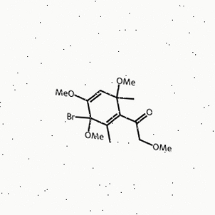 COCC(=O)C1=C(C)C(Br)(OC)C(OC)=CC1(C)OC